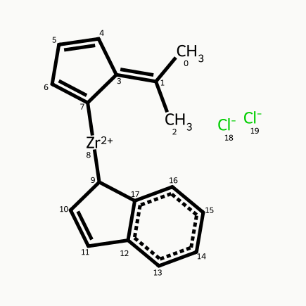 CC(C)=C1C=CC=[C]1[Zr+2][CH]1C=Cc2ccccc21.[Cl-].[Cl-]